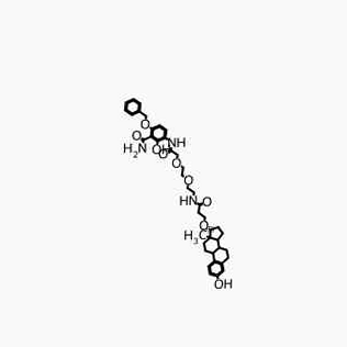 CC12CCC3c4ccc(O)cc4CCC3C1CC[C@H]2OCCC(=O)NCCOCCOCC(=O)Nc1ccc(OCc2ccccc2)c(C(N)=O)c1O